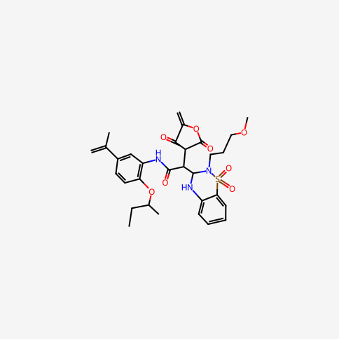 C=C1OC(=O)C(C(C(=O)Nc2cc(C(=C)C)ccc2OC(C)CC)C2Nc3ccccc3S(=O)(=O)N2CCCOC)C1=O